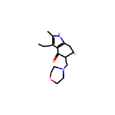 CCc1c(C)[nH]c2c1C(=O)C(CN1CCOCC1)CC2.Cl